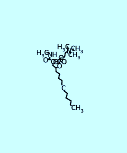 CCCCCCCCCCCCC(COC(=O)NC)OP(=O)([O-])OCC[N+](C)(C)C